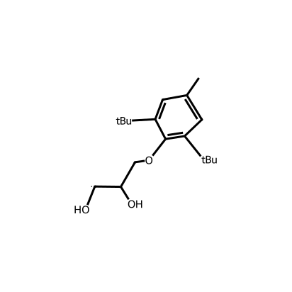 Cc1cc(C(C)(C)C)c(OCC(O)[CH]O)c(C(C)(C)C)c1